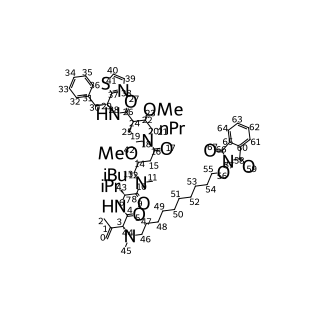 C=C(C)[C@@H](C(=O)N[C@H](C(=O)N(C)[C@@H]([C@@H](C)CC)[C@@H](CC(=O)N(C)[C@@H](CCC)[C@H](OC)[C@@H](C)C(=O)N[C@@H](Cc1ccccc1)c1nccs1)OC)C(C)C)N(C)CCCCCCCCCCON1C(=O)c2ccccc2C1=O